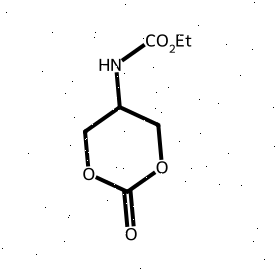 CCOC(=O)NC1COC(=O)OC1